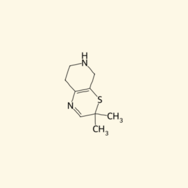 CC1(C)C=NC2=C(CNCC2)S1